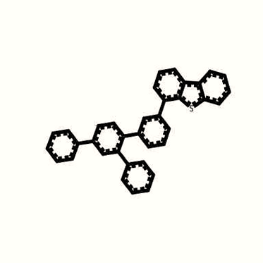 [c]1cc(-c2cccc(-c3cccc4c3sc3ccccc34)c2)c(-c2ccccc2)cc1-c1ccccc1